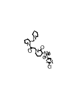 O=C1[C@@H](NS(=O)(=O)c2cnc(Cl)s2)CCCN1CC(=O)N1CCC[C@H]1CN1CCCC1